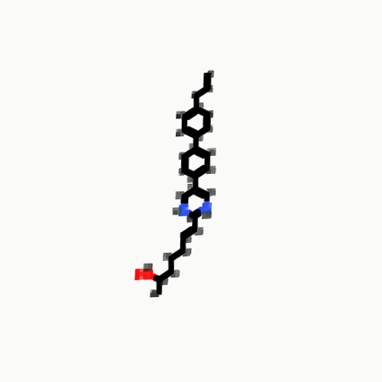 C=CCc1ccc(-c2ccc(-c3cnc(C=CCCCC(C)O)nc3)cc2)cc1